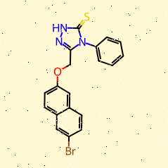 S=c1[nH]nc(COc2ccc3cc(Br)ccc3c2)n1-c1ccccc1